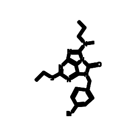 CCCN(C)c1nc2nc(SCC)nc3c2n1c(=O)n3Cc1ccc(Br)cc1